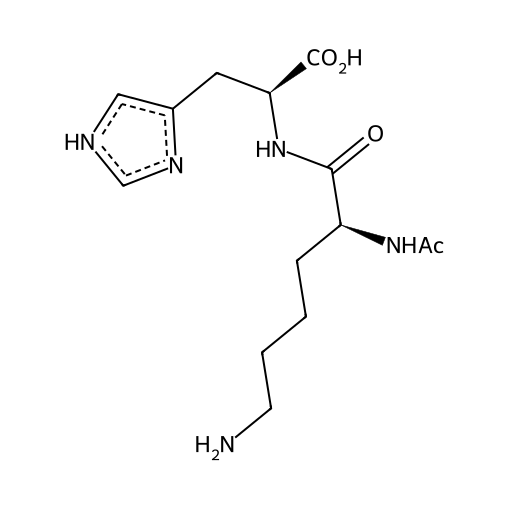 CC(=O)N[C@@H](CCCCN)C(=O)N[C@@H](Cc1c[nH]cn1)C(=O)O